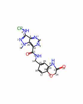 Cn1nc(NCl)c2ncnc(C(=O)NCc3ccc4c(c3)NC(=O)CO4)c21